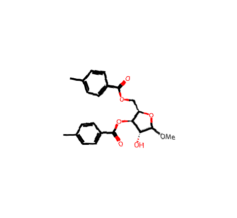 COC1O[C@H](COC(=O)c2ccc(C)cc2)[C@H](OC(=O)c2ccc(C)cc2)[C@H]1O